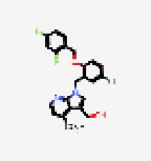 O=C(O)c1ccnc2c1c(CO)cn2Cc1cc(Cl)ccc1OCc1ccc(F)cc1F